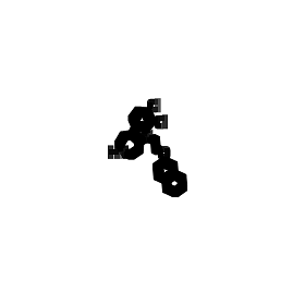 Clc1ccc2c3c(n(CCOc4ccc5c(c4)CCCC5)c2c1Cl)CCNCC3